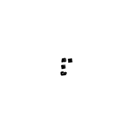 [Al].[Cu].[Ni].[Si]